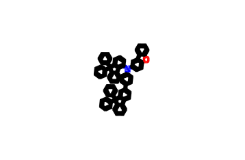 c1ccc(C2(c3ccccc3)c3ccccc3-c3ccc(-c4ccc(N(c5ccc6oc7ccccc7c6c5)c5cccc6c5-c5ccccc5C6(c5ccccc5)c5ccccc5)cc4)cc32)cc1